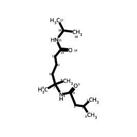 CC(C)CC(=O)NC(C)(C)CCCC(=O)NC(C)C